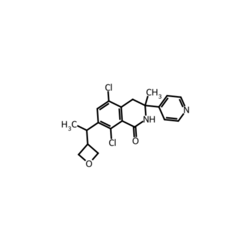 CC(c1cc(Cl)c2c(c1Cl)C(=O)NC(C)(c1ccncc1)C2)C1COC1